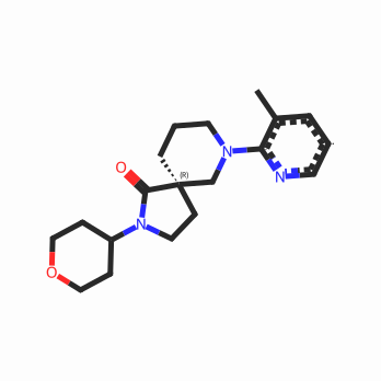 Cc1c[c]cnc1N1CCC[C@@]2(CCN(C3CCOCC3)C2=O)C1